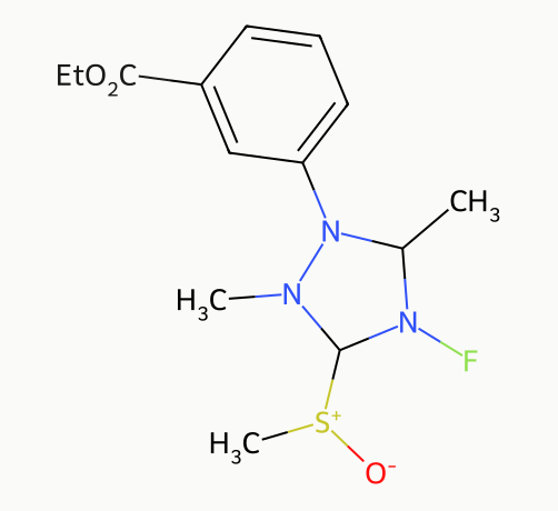 CCOC(=O)c1cccc(N2C(C)N(F)C([S+](C)[O-])N2C)c1